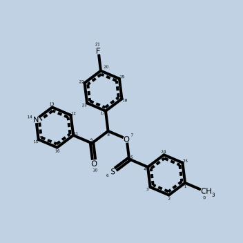 Cc1ccc(C(=S)OC(C(=O)c2ccncc2)c2ccc(F)cc2)cc1